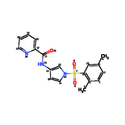 Cc1ccc(C)c(S(=O)(=O)n2ccc(NC(=O)c3ccccn3)c2)c1